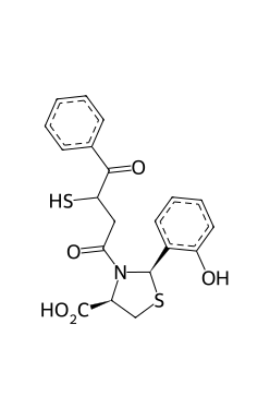 O=C(c1ccccc1)C(S)CC(=O)N1[C@@H](c2ccccc2O)SC[C@H]1C(=O)O